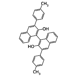 Cc1ccc(-c2cc3ccccc3c(-c3c(O)c(-c4ccc(C)cc4)cc4ccccc34)c2O)cc1